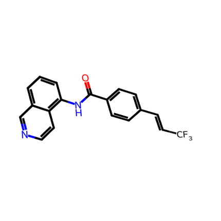 O=C(Nc1cccc2cnccc12)c1ccc(C=CC(F)(F)F)cc1